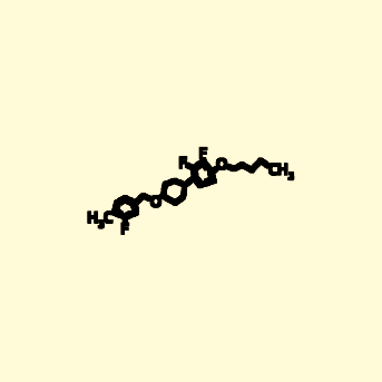 CCCCCOc1ccc(C2CCC(OCc3ccc(C)c(F)c3)CC2)c(F)c1F